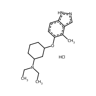 CCN(CC)C1CCCC(Oc2ccc3[nH]ncc3c2C)C1.Cl